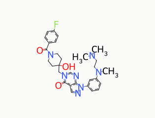 CN(C)CCN(C)c1cccc(-n2ncc3c(=O)n(CC4(O)CCN(C(=O)c5ccc(F)cc5)CC4)cnc32)c1